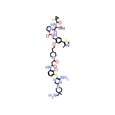 Cc1ncsc1-c1ccc(CNC(=O)[C@@H]2CCCN2C(=O)[C@@H](NC(=O)C2(F)CC2)C(C)(C)C)c(OCCC2CCN(C(=O)CC(=O)Nc3cccc(Sc4ncc(N5CCC(C)(CN)CC5)nc4N)c3Cl)CC2)c1